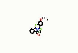 COc1ccc(C(F)N2Cc3ccccc3C2(Cl)C=O)c(F)c1